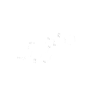 CC(C)(C)SCC(Nc1cc(-n2cnc(Nc3ccccc3)n2)ccn1)C(=O)O